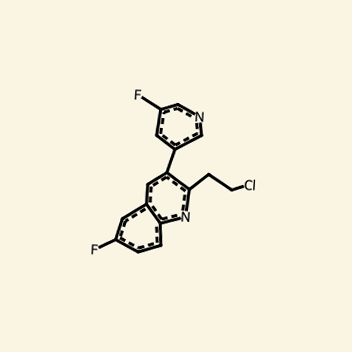 Fc1cncc(-c2cc3cc(F)ccc3nc2CCCl)c1